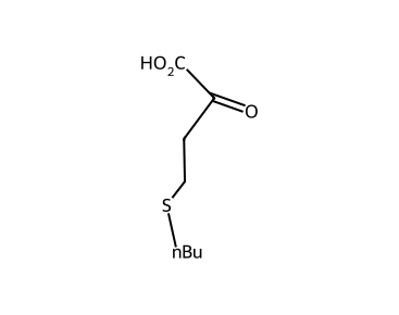 CCCCSCCC(=O)C(=O)O